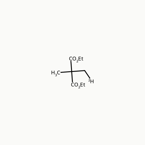 [2H]CC(C)(C(=O)OCC)C(=O)OCC